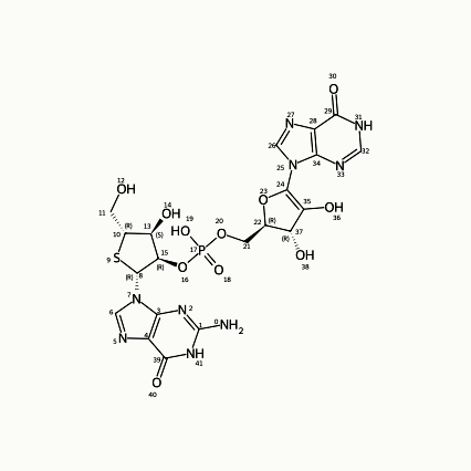 Nc1nc2c(ncn2[C@@H]2S[C@H](CO)[C@@H](O)[C@H]2OP(=O)(O)OC[C@H]2OC(n3cnc4c(=O)[nH]cnc43)=C(O)[C@@H]2O)c(=O)[nH]1